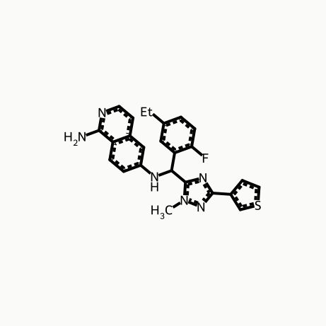 CCc1ccc(F)c(C(Nc2ccc3c(N)nccc3c2)c2nc(-c3ccsc3)nn2C)c1